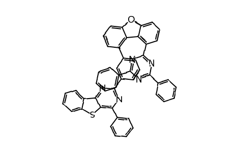 c1ccc(-c2nc(-c3ccccc3)nc(-c3cccc4oc5cccc(-c6cccc(-c7nc(-c8ccccc8)c8sc9ccccc9c8n7)c6)c5c34)n2)cc1